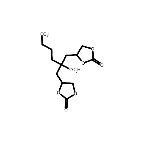 O=C(O)CCCC(CC1COC(=O)O1)(CC1COC(=O)O1)C(=O)O